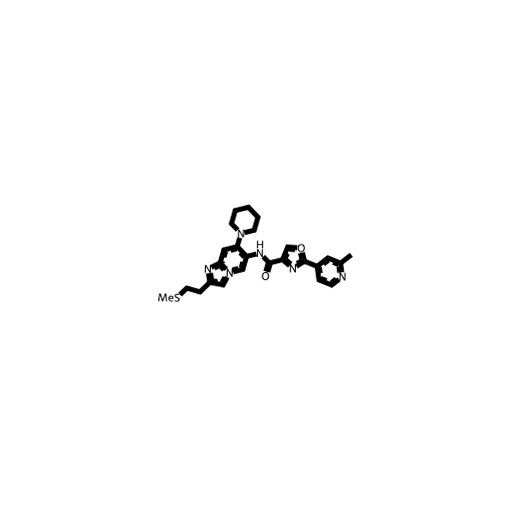 CSCCc1cn2cc(NC(=O)c3coc(-c4ccnc(C)c4)n3)c(N3CCCCC3)cc2n1